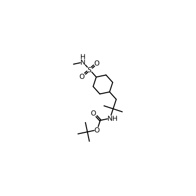 CNS(=O)(=O)C1CCC(CC(C)(C)NC(=O)OC(C)(C)C)CC1